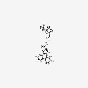 O=C(CCCCCNc1ncc(-c2ccccc2)c(-c2ccccc2)n1)OC(=O)C(F)(F)F